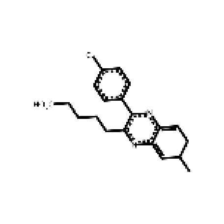 CC1C=c2nc(CCCCC(=O)O)c(-c3ccc(Cl)cc3)nc2=CC1